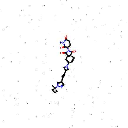 CC1(n2cc(C#CC3CN(c4ccc5c(c4)C(=O)N(C4CCC(=O)NC4=O)C5=O)C3)cn2)CCC1